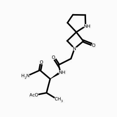 CC(=O)OC(C)[C@H](NC(=O)CN1CC2(CCCN2)C1=O)C(N)=O